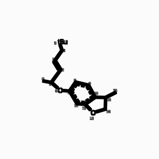 CC(/C=C/CC(C)(C)C)Oc1ccc2c(c1)OCC2C